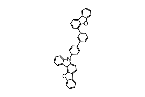 c1cc(-c2ccc(-n3c4ccccc4c4c5oc6ccccc6c5ccc43)cc2)cc(-c2cccc3c2oc2ccccc23)c1